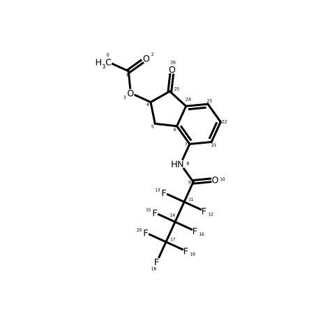 CC(=O)OC1Cc2c(NC(=O)C(F)(F)C(F)(F)C(F)(F)F)cccc2C1=O